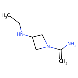 C=C(N)N1CC(NCC)C1